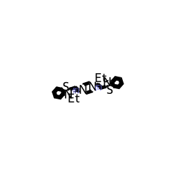 CC[n+]1c(/C=C/N2CCN(/C=C/c3sc4ccccc4[n+]3CC)CC2)sc2ccccc21